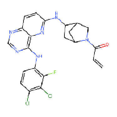 C=CC(=O)N1CC2CC1CC2Nc1ccc2ncnc(Nc3ccc(Cl)c(Cl)c3F)c2n1